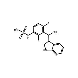 CCCS(=O)(=O)Nc1ccc(F)c(C(O)C2CNc3ncccc32)c1F